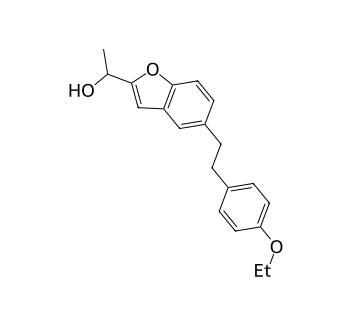 CCOc1ccc(CCc2ccc3oc(C(C)O)cc3c2)cc1